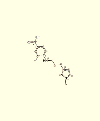 Cc1cc([N+](=O)[O-])ccc1NCCCn1cc[n+](C)c1